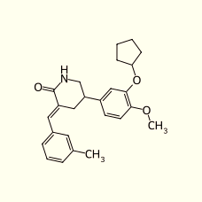 COc1ccc(C2CNC(=O)C(=Cc3cccc(C)c3)C2)cc1OC1CCCC1